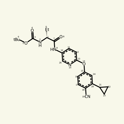 CC[C@@H](NC(=O)OC(C)(C)C)C(=O)Nc1ccc(Oc2ccc(C#N)c(C3CC3)c2)nc1